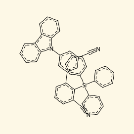 N#Cc1cc(-c2cccc(C#N)c2[Si](c2ccccc2)(c2ccccc2)c2ccccc2)cc(-n2c3ccccc3c3ccccc32)c1